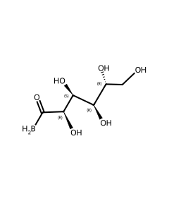 BC(=O)[C@H](O)[C@@H](O)[C@H](O)[C@H](O)CO